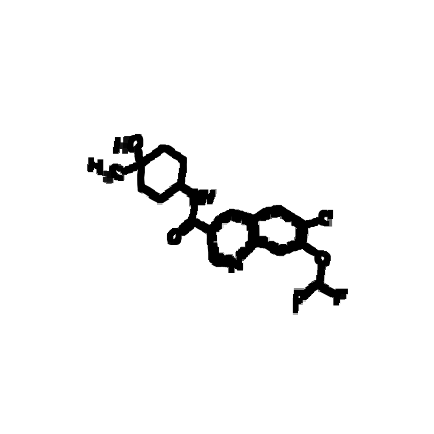 CC1(O)CCC(NC(=O)c2cnc3cc(OC(F)F)c(Cl)cc3c2)CC1